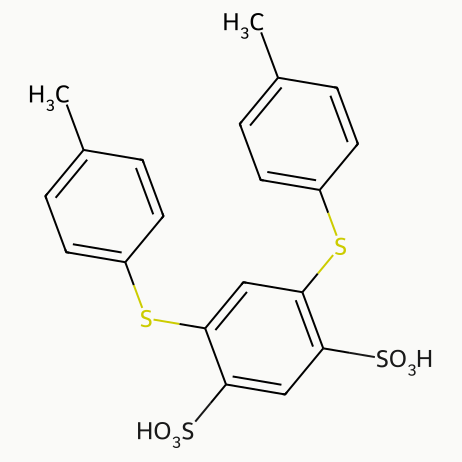 Cc1ccc(Sc2cc(Sc3ccc(C)cc3)c(S(=O)(=O)O)cc2S(=O)(=O)O)cc1